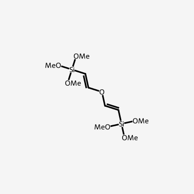 CO[Si](C=COC=C[Si](OC)(OC)OC)(OC)OC